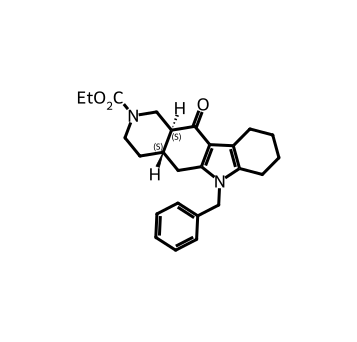 CCOC(=O)N1CC[C@H]2Cc3c(c4c(n3Cc3ccccc3)CCCC4)C(=O)[C@@H]2C1